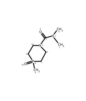 CN(C)C(=O)N1CCP(C)(=O)CC1